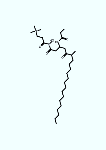 CCCCCCCCCCCCCCCC(C)C(=O)CC(CC(=O)P(O)C(=O)CC[N+](C)(C)C)NC(=O)CC